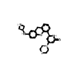 O=c1cc(N2CCOCC2)cc(-c2cccc3c2Oc2ccc(NC4CNC4)cc2C3)[nH]1